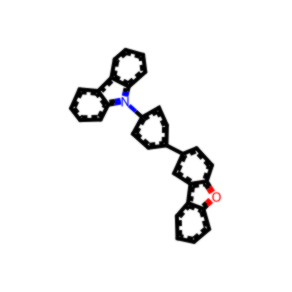 c1ccc2c(c1)oc1ccc(-c3ccc(-n4c5ccccc5c5ccccc54)cc3)cc12